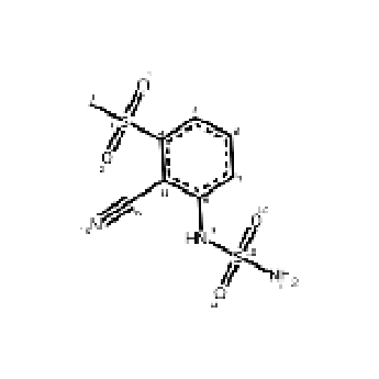 CS(=O)(=O)c1cccc(NS(N)(=O)=O)c1C#N